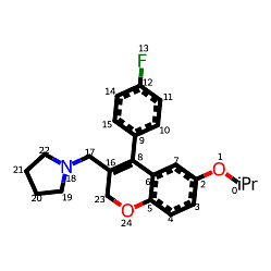 CC(C)Oc1ccc2c(c1)C(c1ccc(F)cc1)=C(CN1CCCC1)CO2